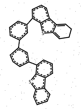 C1=c2sc3c(-c4cccc(-c5cccc(-c6cccc7c6sc6ccccc67)c5)c4)cccc3c2=CCC1